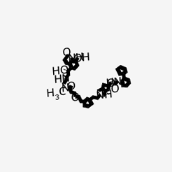 CN(CCNC[C@H](O)c1ccc(O)c2[nH]c(=O)ccc12)C(=O)CCOCCc1cccc(CCN2CC3CC(OC(=O)Nc4ccccc4-c4ccccc4)C[C@H]3C2)c1